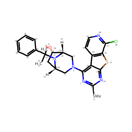 CSc1nc(N2C[C@@H]3C[C@H](O)[C@H](C2)N3C(C)(C)c2ccccc2)c2c(n1)sc1c(Cl)nccc12